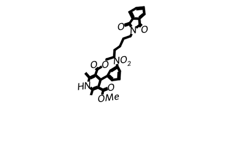 COC(=O)C1=C(C)NC(C)=C(C(=O)OCCCCCCN2C(=O)c3ccccc3C2=O)C1c1cccc([N+](=O)[O-])c1